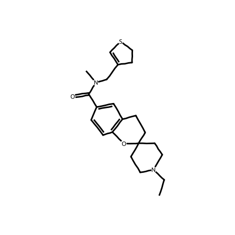 CCN1CCC2(CCc3cc(C(=O)N(C)CC4=CSCC4)ccc3O2)CC1